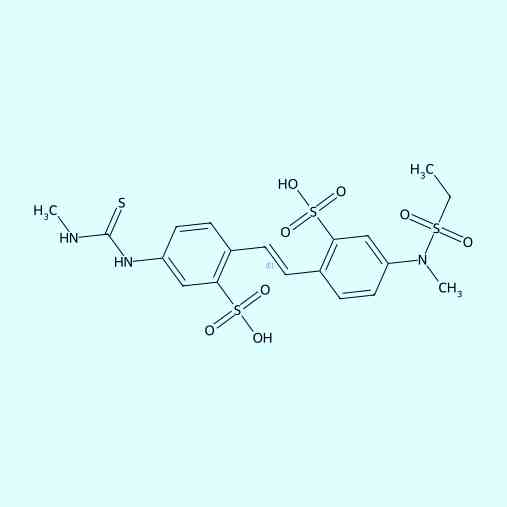 CCS(=O)(=O)N(C)c1ccc(/C=C/c2ccc(NC(=S)NC)cc2S(=O)(=O)O)c(S(=O)(=O)O)c1